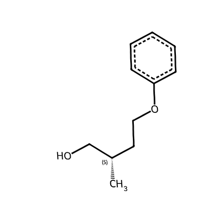 C[C@H](CO)CCOc1ccccc1